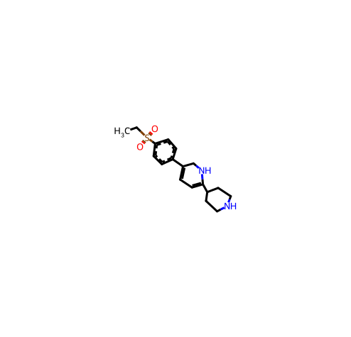 CCS(=O)(=O)c1ccc(C2=CC=C(C3CCNCC3)NC2)cc1